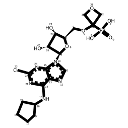 O=P(O)(O)C1(OC[C@H]2O[C@@H](n3cnc4c(NC5CCCC5)nc(Cl)nc43)[C@H](O)[C@@H]2O)COC1